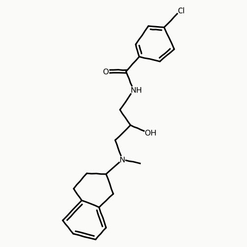 CN(CC(O)CNC(=O)c1ccc(Cl)cc1)C1CCc2ccccc2C1